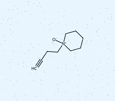 C#CCC[N+]1([O-])CCCCC1